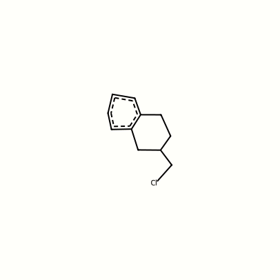 ClCC1CCc2ccccc2C1